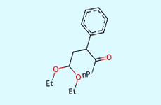 CCCC(=O)C(CC(OCC)OCC)c1ccccc1